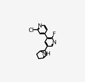 Fc1ncc(C2CC3CCC2N3)cc1-c1ccnc(Cl)c1